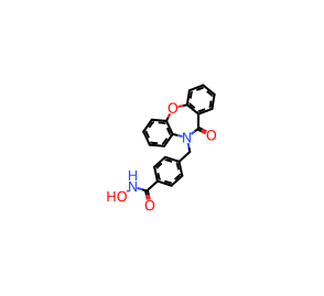 O=C(NO)c1ccc(CN2C(=O)c3ccccc3Oc3ccccc32)cc1